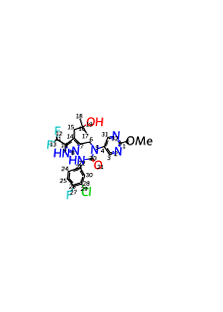 COc1ncc(N(Cc2n[nH]c(C(F)F)c2CC(C)(C)O)C(=O)Nc2ccc(F)c(Cl)c2)cn1